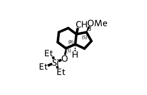 CC[Si](CC)(CC)O[C@H]1CCCC2(C)[C@@H](OC)CC[C@@H]12